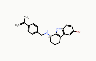 C=C(C)c1ccc(CN[C@@H]2CCCc3c2[nH]c2ccc(Br)cc32)cc1